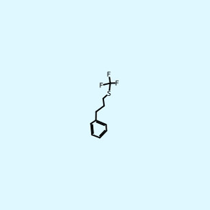 FC(F)(F)SCCCc1ccccc1